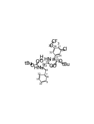 CC(C)(C)OC(=O)N[C@H](Cc1ccccc1)[C@H](O)C(=O)N[C@@H](C(=O)OC(C)(C)C)c1cc(Cl)cc(OC(F)(F)F)c1